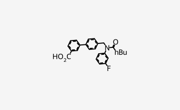 CCCCC(=O)N(Cc1ccc(-c2cccc(C(=O)O)c2)cc1)c1cccc(F)c1